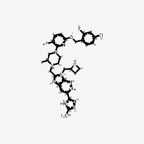 CC1CN(c2nc(OCc3ccc(Cl)cc3F)ccc2F)CCN1Cc1nc2cc(-c3nnc(C(F)(F)F)[nH]3)nnc2n1CC1CCO1